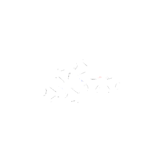 c1ccc(N2c3ccccc3B3c4c(cccc42)-c2cccc4c5c6oc7ccccc7c6ccc5n3c24)cc1